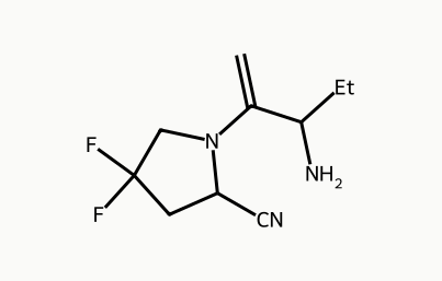 C=C(C(N)CC)N1CC(F)(F)CC1C#N